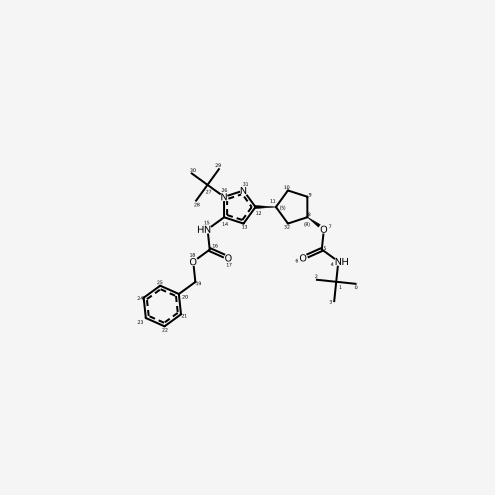 CC(C)(C)NC(=O)O[C@@H]1CC[C@H](c2cc(NC(=O)OCc3ccccc3)n(C(C)(C)C)n2)C1